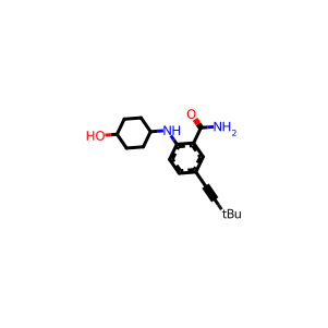 CC(C)(C)C#Cc1ccc(NC2CCC(O)CC2)c(C(N)=O)c1